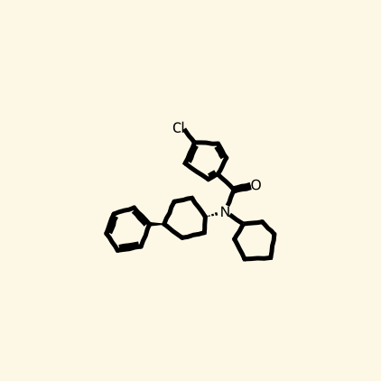 O=C(c1ccc(Cl)cc1)N(C1CCCCC1)[C@H]1CC[C@H](c2ccccc2)CC1